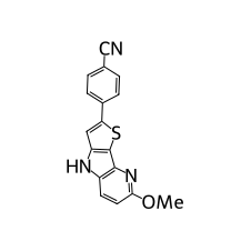 COc1ccc2[nH]c3cc(-c4ccc(C#N)cc4)sc3c2n1